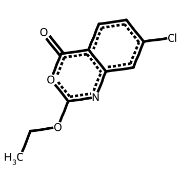 CCOc1nc2cc(Cl)ccc2c(=O)o1